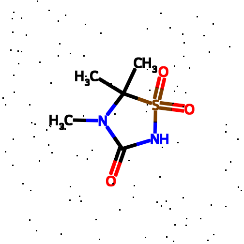 CN1C(=O)NS(=O)(=O)C1(C)C